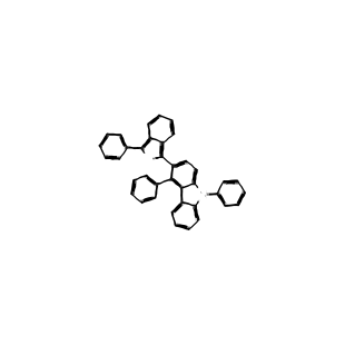 c1ccc(-c2oc(-c3ccc4c(c3-c3ccccc3)c3ccccc3n4-c3ccccc3)c3ccccc23)cc1